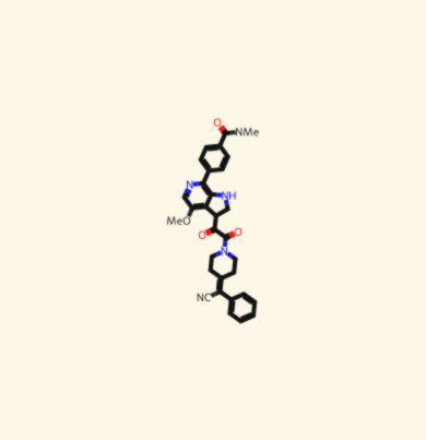 CNC(=O)c1ccc(-c2ncc(OC)c3c2NCC3C(=O)C(=O)N2CCC(=C(C#N)c3ccccc3)CC2)cc1